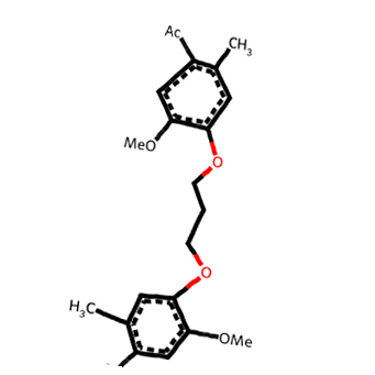 COc1cc(C(C)=O)c(C)cc1OCCCOc1cc(C)c(C(C)=O)cc1OC